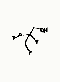 OCC(F)(CF)OF